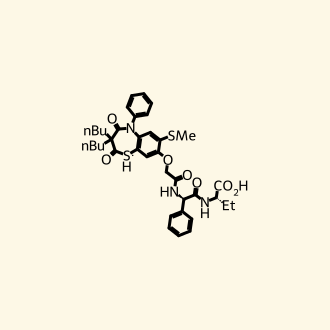 CCCCC1(CCCC)C(=O)[SH]c2cc(OCC(=O)N[C@@H](C(=O)N[C@@H](CC)C(=O)O)c3ccccc3)c(SC)cc2N(c2ccccc2)C1=O